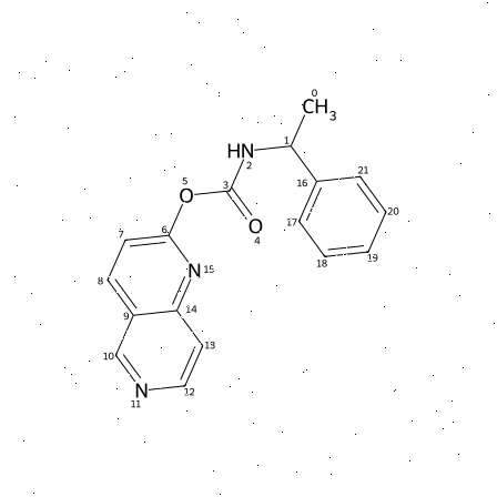 CC(NC(=O)Oc1ccc2cnccc2n1)c1ccccc1